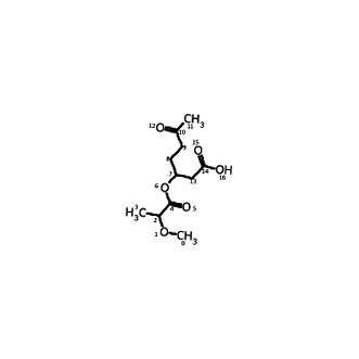 COC(C)C(=O)OC(CCC(C)=O)CC(=O)O